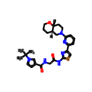 CC(C)(C)n1ccc(C(=O)NCC(=O)Nc2nc(-c3cccc(N4CC[C@H]5OCCC[C@@H]5C4)n3)cs2)c1